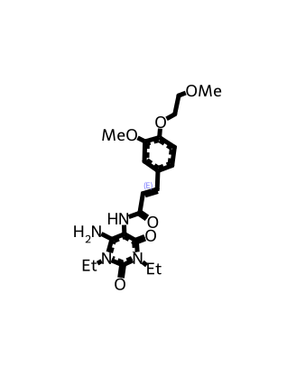 CCn1c(N)c(NC(=O)/C=C/c2ccc(OCCOC)c(OC)c2)c(=O)n(CC)c1=O